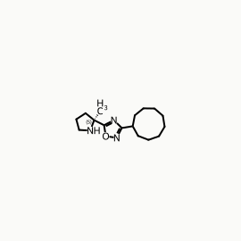 C[C@@]1(c2nc(C3CCCCCCCC3)no2)CCCN1